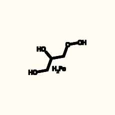 OCC(O)COO.[PoH2]